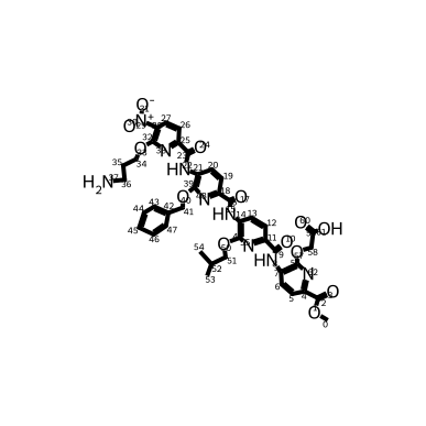 COC(=O)c1ccc(NC(=O)c2ccc(NC(=O)c3ccc(NC(=O)c4ccc([N+](=O)[O-])c(OCCCN)n4)c(OCc4ccccc4)n3)c(OCC(C)C)n2)c(OCC(=O)O)n1